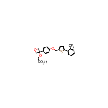 O=C(O)COC1(c2ccc(OCc3ccc(-c4ccccc4C(F)(F)F)s3)cc2)COC1